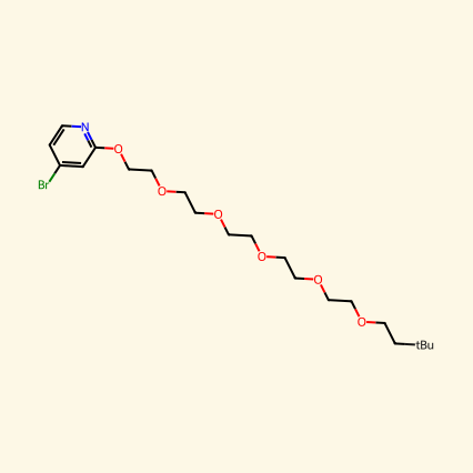 CC(C)(C)CCOCCOCCOCCOCCOCCOc1cc(Br)ccn1